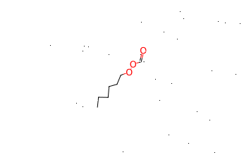 CCCCCCOO[C]=O